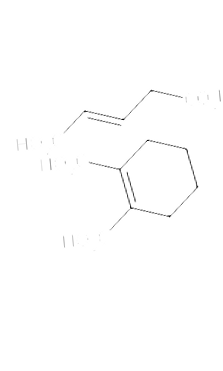 O=C(O)/C=C/CC(=O)O.O=C(O)C1=C(C(=O)O)CCCC1